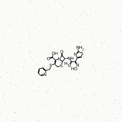 Nc1nc(/C(=N/O)C(=O)N[C@@H]2C(=O)N3C(C(=O)O)=C(SCc4ccccn4)CS[C@H]23)cs1